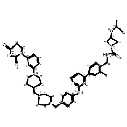 Cc1cc(-c2ccnc(Nc3ccc(CN4CCN(CC5CCN(c6cccc(N7CCC(=O)NC7=O)c6)CC5)CC4)cc3)n2)ccc1CNC(=O)N1CC(OC(C)C)C1